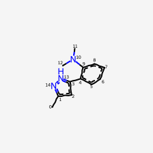 Cc1cc(-c2ccccc2N(C)C)[nH]n1